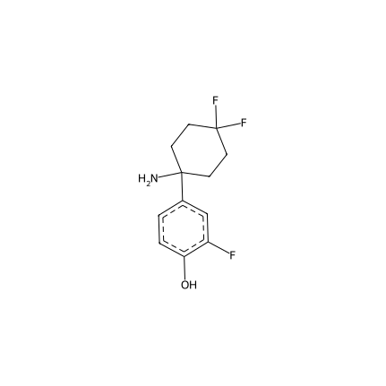 NC1(c2ccc(O)c(F)c2)CCC(F)(F)CC1